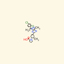 Cc1nn([C@H](C)c2ccc(Cl)cc2Cl)c2nc(C3=CCC(N4CCCC4C(=O)O)C(C)C3)cnc12